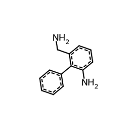 NCc1cccc(N)c1-c1ccccc1